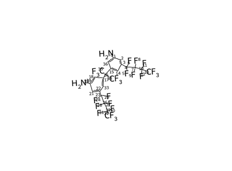 Nc1cc(C(F)(F)C(F)(F)C(F)(F)C(F)(F)F)cc(C(c2cc(N)cc(C(F)(F)C(F)(F)C(F)(F)C(F)(F)F)c2)(C(F)(F)F)C(F)(F)F)c1